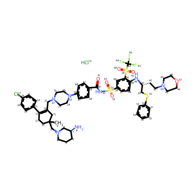 CC1(CN2CCC[C@H](N)C2)CCC(c2ccc(Cl)cc2)=C(CN2CCN(c3ccc(C(=O)NS(=O)(=O)c4ccc(N[C@H](CCN5CCOCC5)CSc5ccccc5)c(S(=O)(=O)C(F)(F)F)c4)cc3)CC2)C1.Cl